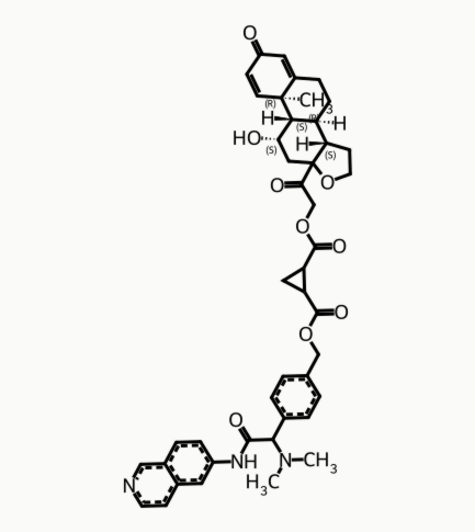 CN(C)C(C(=O)Nc1ccc2cnccc2c1)c1ccc(COC(=O)C2CC2C(=O)OCC(=O)C23C[C@H](O)[C@H]4[C@@H](CCC5=CC(=O)C=C[C@@]54C)[C@@H]2CCO3)cc1